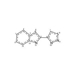 c1ccc2sc(-c3csnn3)nc2c1